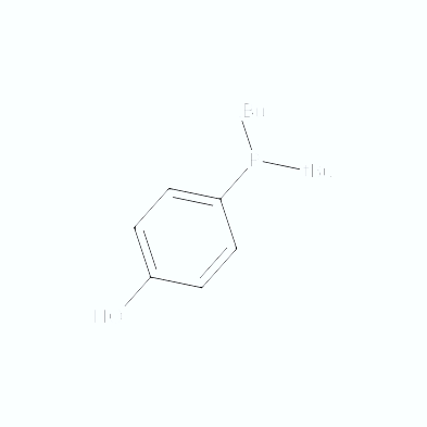 CC(C)(C)P(c1ccc(O)cc1)C(C)(C)C